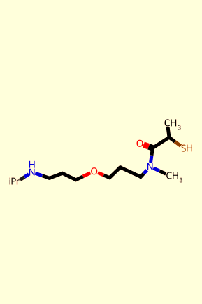 CC(C)NCCCOCCCN(C)C(=O)C(C)S